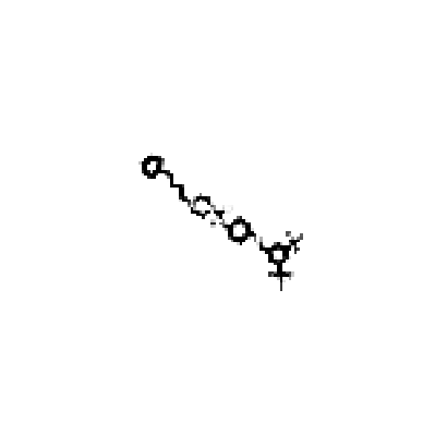 O=C(Nc1ccc(OCc2cc(C(F)(F)F)cc(C(F)(F)F)c2)cc1)N1CCN(CCCCc2ccccc2)CC1